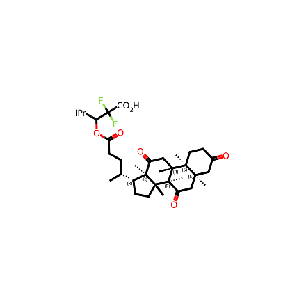 CC(C)C(OC(=O)CCC(C)[C@H]1CCC2(C)[C@]3(C)C(=O)C[C@]4(C)CC(=O)CC[C@]4(C)[C@@]3(C)CC(=O)[C@]12C)C(F)(F)C(=O)O